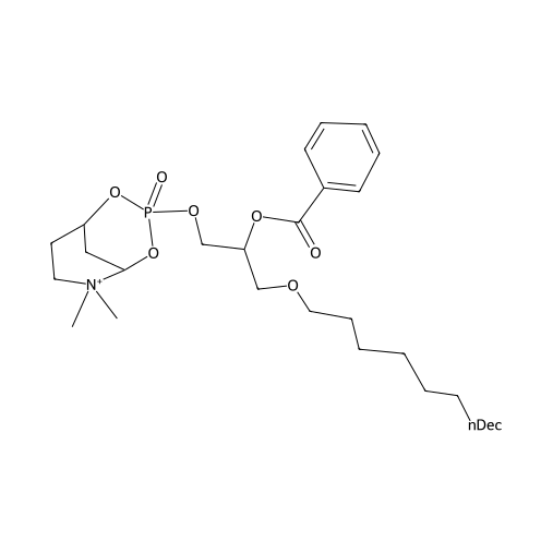 CCCCCCCCCCCCCCCCOCC(COP1(=O)OC2CC[N+](C)(C)C(C2)O1)OC(=O)c1ccccc1